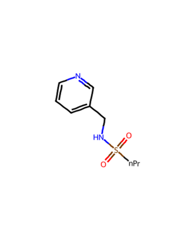 CCCS(=O)(=O)NCc1cccnc1